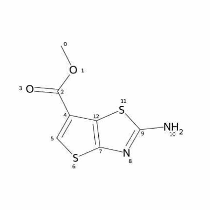 COC(=O)c1csc2nc(N)sc12